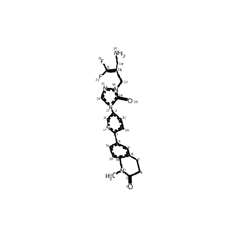 CN1C(=O)CCc2cc(-c3ccc(-n4cnn(CC(CN)=C(F)F)c4=O)cn3)ccc21